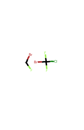 FC(F)(Cl)Br.F[C]Br